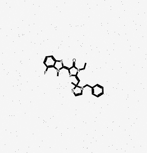 CCn1c(=O)/c(=C2\Sc3cccc(F)c3N2C)s/c1=C\C1(C)SC=CN1Cc1ccccc1